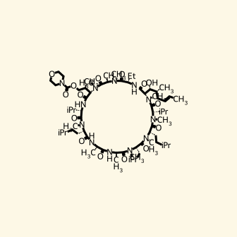 C/C=C/C[C@@H](C)[C@@H](O)[C@H]1C(=O)N[C@@H](CC)C(=O)N(C)[C@H](C)C(=O)N(C)[C@@H]([C@H](C)COC(=O)N2CCOCC2)C(=O)N[C@@H](C(C)C)C(=O)N(C)[C@@H](CCC(C)C)C(=O)N[C@@H](C)C(=O)N[C@H](C)C(=O)N(C)[C@@H](CC(C)C)C(=O)N(C)[C@@H](CCC(C)C)C(=O)N(C)[C@@H](C(C)C)C(=O)N1C